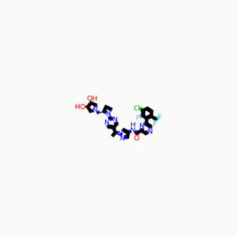 CC(c1cnc(N2CC[C@H]2CN2C[C@@H](O)[C@H](O)C2)nc1)n1cc(NC(=O)c2cncc(-c3c(C(F)F)ccc(Cl)c3F)n2)cn1